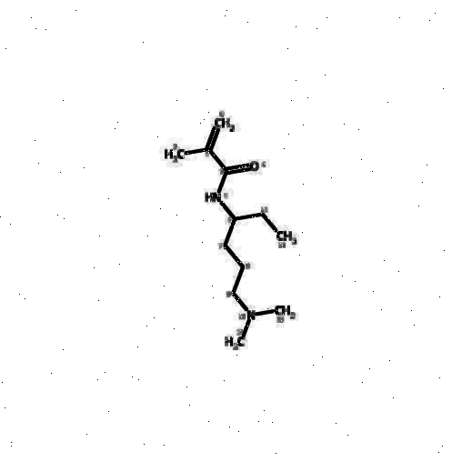 C=C(C)C(=O)NC([CH]CCN(C)C)CC